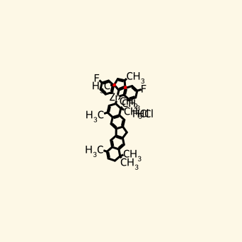 Cl.Cl.[CH2]=[Zr]([C]1=CC(C)=CC1C)([c]1ccc(F)cc1)([c]1ccc(F)cc1)[CH]1C=C(C)c2cc3c(cc2C1(C)C)Cc1cc2c(cc1-3)C(C)=CCC2(C)C